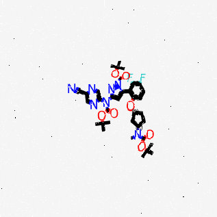 CN(C(=O)OC(C)(C)C)[C@@H]1CC[C@@H](Oc2ccc(F)c(F)c2-c2cc(N(C(=O)OC(C)(C)C)c3cnc(C#N)cn3)nn2C(=O)OC(C)(C)C)C1